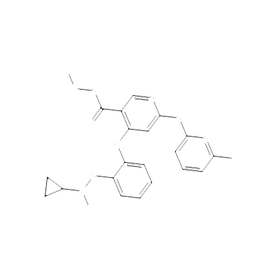 CCONC(=O)c1cnc(Nc2cccc(F)n2)cc1Nc1ccccc1N[S+]([O-])C1CC1